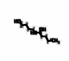 CCCCC(O)NCCCCO